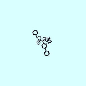 CC[S+]([O-])c1cc(-c2ccccc2)ccc1C(O)C(=O)OCc1ccccc1